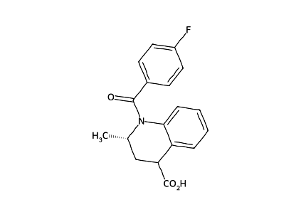 C[C@H]1CC(C(=O)O)c2ccccc2N1C(=O)c1ccc(F)cc1